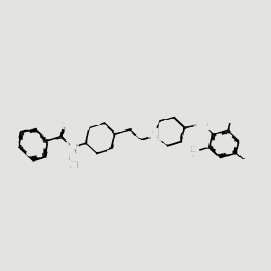 O=C(NC1CCC(CCN2CCC(Oc3c(F)cc(F)cc3F)CC2)CC1)c1ccccc1